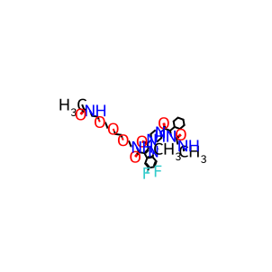 CNCC(=O)NC(C(=O)N1CCN(C(=O)c2c(C(=O)NCCOCCOCCOCCNC(C)=O)c3cc(F)c(F)cc3n2C)CC1)C1CCCCC1